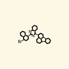 Brc1ccc(-c2nc(-c3ccc4c5c(cccc35)-c3ccccc3-4)c3ccccc3n2)c2ccccc12